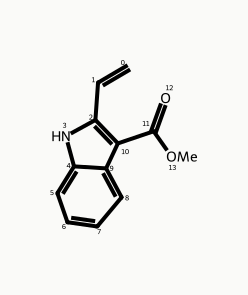 C=Cc1[nH]c2ccccc2c1C(=O)OC